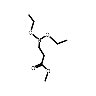 CCON(CCC(=O)OC)OCC